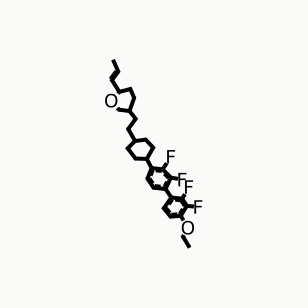 C/C=C/C1CCC(CCC2CCC(c3ccc(-c4ccc(OCC)c(F)c4F)c(F)c3F)CC2)CO1